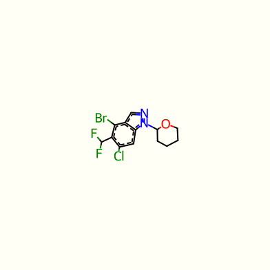 FC(F)c1c(Cl)cc2c(cnn2C2CCCCO2)c1Br